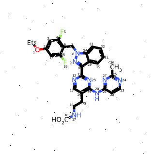 CCOc1cc(F)c(Cn2nc(-c3ncc(CCNC(=O)O)c(Nc4ccnc(C)n4)n3)c3ccccc32)c(F)c1